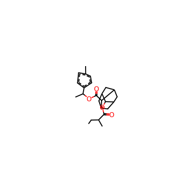 CCC(C)C(=O)OC1C2CC3CC1CC(C2)C3C(=O)OC(C)c1ccc(C)cc1